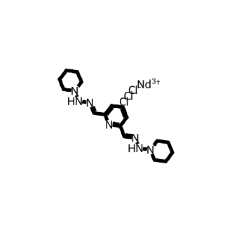 C(=NNN1CCCCC1)c1cccc(C=NNN2CCCCC2)n1.[Cl-].[Cl-].[Cl-].[Nd+3]